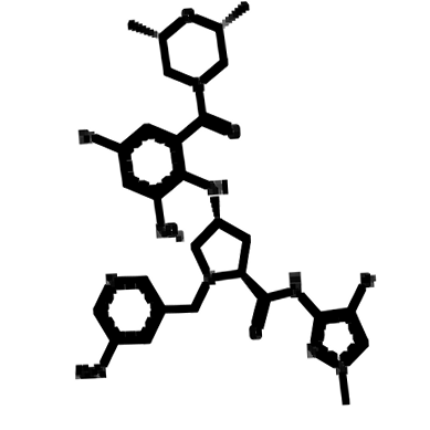 CNc1cncc(CN2C[C@H](Nc3c(C(=O)N4C[C@@H](C)O[C@@H](C)C4)cc(Br)cc3[N+](=O)[O-])C[C@H]2C(=O)Nc2nn(C)cc2Br)c1